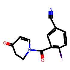 N#Cc1ccc(I)c(C(=O)N2C=CC(=O)CC2)c1